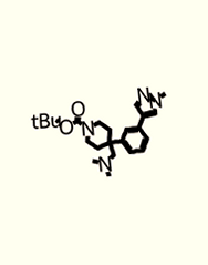 CN(C)CC1(c2cccc(-c3cnn(C)c3)c2)CCN(C(=O)OC(C)(C)C)CC1